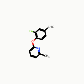 Cc1cccc(Oc2ccc(C=O)cc2F)n1